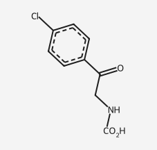 O=C(O)NCC(=O)c1ccc(Cl)cc1